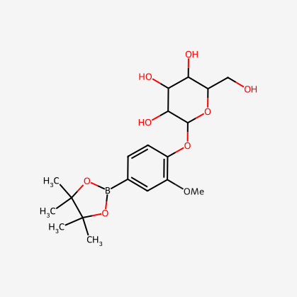 COc1cc(B2OC(C)(C)C(C)(C)O2)ccc1OC1OC(CO)C(O)C(O)C1O